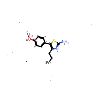 CC(C)CCc1nc(N)sc1-c1ccc(OC(F)(F)F)cc1